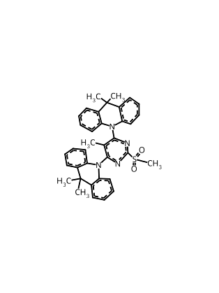 Cc1c(N2c3ccccc3C(C)(C)c3ccccc32)nc(S(C)(=O)=O)nc1N1c2ccccc2C(C)(C)c2ccccc21